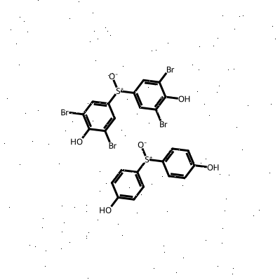 [O-][S+](c1cc(Br)c(O)c(Br)c1)c1cc(Br)c(O)c(Br)c1.[O-][S+](c1ccc(O)cc1)c1ccc(O)cc1